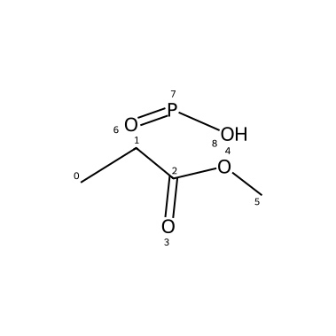 CCC(=O)OC.O=PO